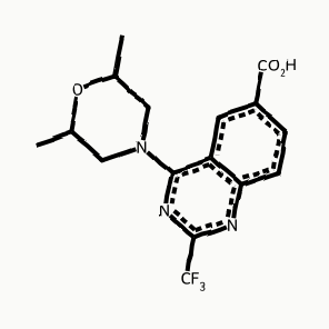 CC1CN(c2nc(C(F)(F)F)nc3ccc(C(=O)O)cc23)CC(C)O1